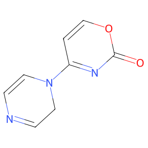 O=c1nc(N2C=CN=CC2)cco1